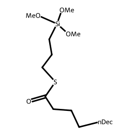 CCCCCCCCCCCCCC(=O)SCCC[Si](OC)(OC)OC